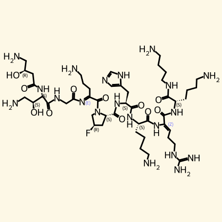 N=C(N)NCC/C=C(\NC(=O)[C@H](CCCCN)NC(=O)[C@H](Cc1cnc[nH]1)NC(=O)[C@@H]1C[C@@H](F)CN1C(=O)/C(CCCN)=N/C(=O)CNC(=O)[C@@H](NC(=O)C[C@@H](O)CN)[C@@H](O)CN)C(=O)N[C@@H](CCCCN)C(=O)NCCCCN